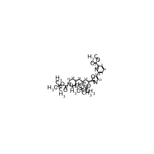 COC(=O)c1cccc(-c2cnc(C(CCCC3CCN(C(=O)OC(C)(C)C)CC3)O[Si](C)(C)C(C)(C)C)o2)n1